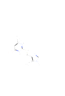 CCn1cnc(CSc2nc(C)cc(O)n2)c1C